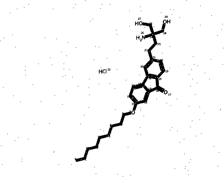 CCCCCCCCCOc1ccc2c(c1)C(=O)c1ccc(CCC(N)(CO)CO)cc1-2.Cl